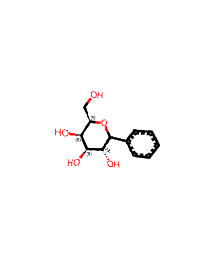 OC[C@H]1O[C](c2ccccc2)[C@H](O)[C@@H](O)[C@H]1O